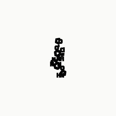 Fc1c(Nc2ncnc3ccc(O[C@H]4CCNC4)nc23)ccc(OC[C@@H]2CCCO2)c1Cl